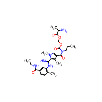 CCCN(C(=O)OCOC(=O)C(C)N)C(=O)c1cn(C)c(C(=N)Nc2cc(C(=O)NCC)ccc2C)c1C